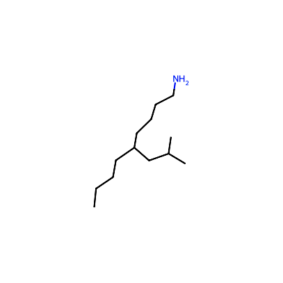 CCCCC(CCCCN)CC(C)C